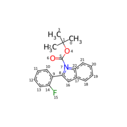 CC(C)(C)OC(=O)n1c(-c2ccccc2F)cc2ccccc21